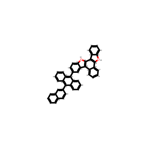 c1ccc2cc(-c3c4ccccc4c(-c4ccc5oc6c(c5c4)c4ccccc4c4oc5ccccc5c46)c4ccccc34)ccc2c1